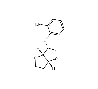 Nc1ccccc1O[C@@H]1CO[C@@H]2CCO[C@@H]21